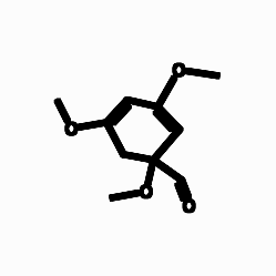 COC1=CC(C=O)(OC)CC(OC)=C1